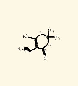 C=CC1=C(O)OC(C)(C)OC1=O